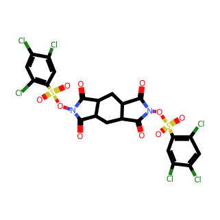 O=C1C2CC3C(=O)N(OS(=O)(=O)c4cc(Cl)c(Cl)cc4Cl)C(=O)C3CC2C(=O)N1OS(=O)(=O)c1cc(Cl)c(Cl)cc1Cl